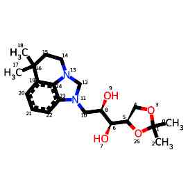 CC1(C)OC[C@H]([C@@H](O)[C@H](O)CN2CN3CCC(C)(C)c4cccc2c43)O1